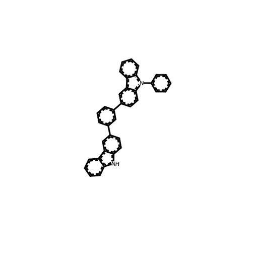 c1ccc(-n2c3ccccc3c3cc(-c4cccc(-c5ccc6[nH]c7ccccc7c6c5)c4)ccc32)cc1